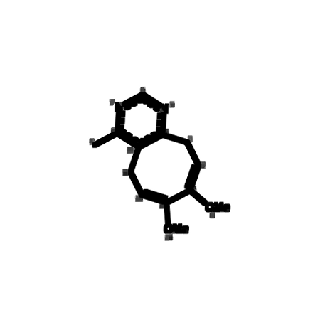 COC1=C/Cc2ncnc(C)c2C/C=C\1OC